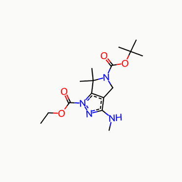 CCOC(=O)n1nc(NC)c2c1C(C)(C)N(C(=O)OC(C)(C)C)C2